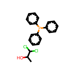 CC(O)C(Cl)Cl.c1ccc(P(c2ccccc2)c2ccccc2)cc1